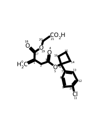 C=C(CC(=O)OC1(c2ccc(Cl)cc2)CCC1)C(=O)OCC(=O)O